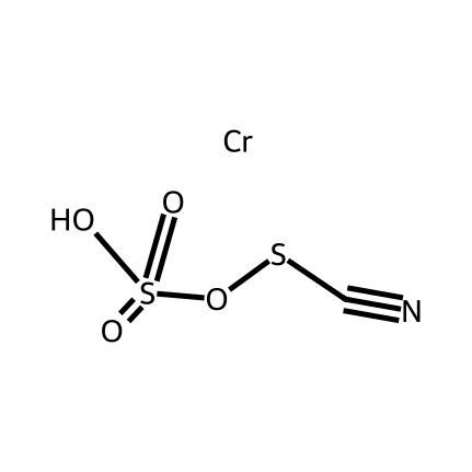 N#CSOS(=O)(=O)O.[Cr]